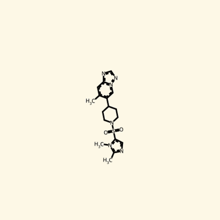 Cc1cc2ncnn2cc1C1CCN(S(=O)(=O)c2cnc(C)n2C)CC1